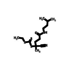 CCSC(=S)SC(C)(C#N)CCC(=O)NCCC(C)C